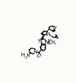 Cn1c(-c2ccc(-c3ccncc3)n2CC2CC2)nc2cc(C(=O)N3CCC[C@@H](N)C3)ccc21